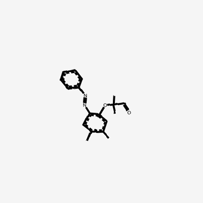 Cc1cc(/N=N/c2ccccc2)c(OC(C)(C)[C]=O)cc1C